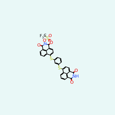 O=C1NC(=O)c2ccc(Sc3cccc(Sc4ccc5c6c(cccc46)C(=O)N(OS(=O)(=O)C(F)(F)F)C5=O)c3)c3cccc1c23